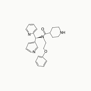 O=C(C1CCNCC1)N(CCOc1ccccc1)[C@@H](c1cccnc1)c1ccccn1